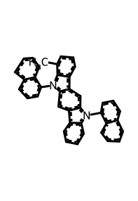 Cc1cccc2c3cc4c(cc3n(-c3cccc5ccccc35)c12)c1ccccc1n4-c1cccc2ccccc12